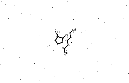 OC1CCCC1O.OCCCCCO